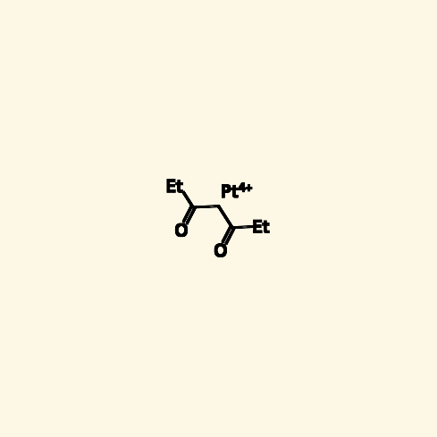 CCC(=O)CC(=O)CC.[Pt+4]